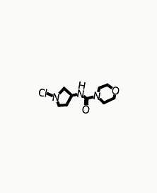 O=C(NC1CCN(Cl)C1)N1CCOCC1